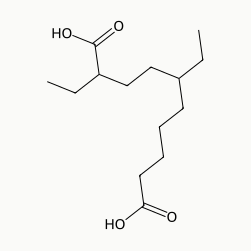 CCC(CCCCC(=O)O)CCC(CC)C(=O)O